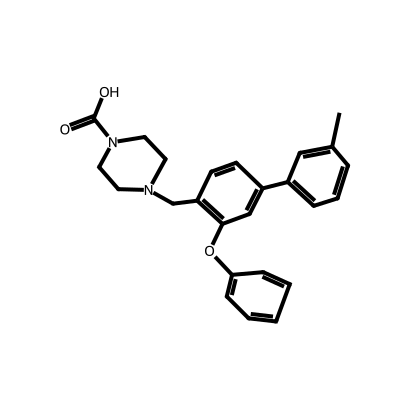 Cc1cccc(-c2ccc(CN3CCN(C(=O)O)CC3)c(Oc3ccccc3)c2)c1